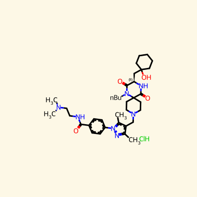 CCCCN1C(=O)[C@@H](CC2(O)CCCCC2)NC(=O)C12CCN(Cc1c(C)nn(-c3ccc(C(=O)NCCN(C)C)cc3)c1C)CC2.Cl